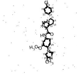 COc1cc(NC(=O)c2nnn3c2CC[C@H]3c2ccc(Cl)cc2)ccc1-n1cnc(C)c1